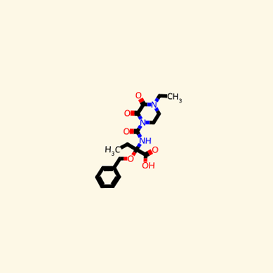 CCN1CCN(C(=O)NC(CC)(OCc2ccccc2)C(=O)O)C(=O)C1=O